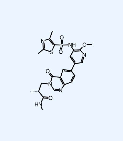 CNC(=O)[C@H](C)Cn1cnc2ccc(-c3cnc(OC)c(NS(=O)(=O)c4sc(C)nc4C)c3)cc2c1=O